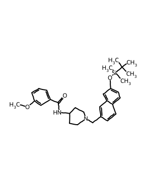 COc1cccc(C(=O)NC2CCN(Cc3ccc4ccc(O[Si](C)(C)C(C)(C)C)cc4c3)CC2)c1